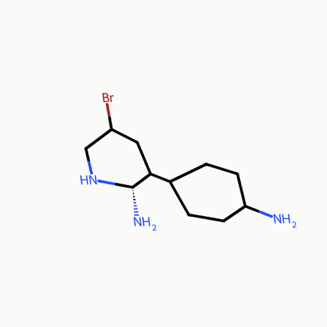 NC1CCC(C2CC(Br)CN[C@H]2N)CC1